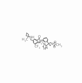 Cn1cnnc1C1(c2cccc(N3Cc4c(cc(CNC5(C)CCC5)cc4C(F)(F)F)C3=O)c2)CN(S(C)(=O)=O)C1